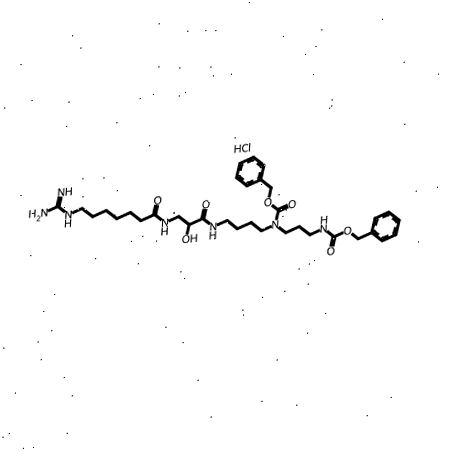 Cl.N=C(N)NCCCCCCC(=O)NCC(O)C(=O)NCCCCN(CCCNC(=O)OCc1ccccc1)C(=O)OCc1ccccc1